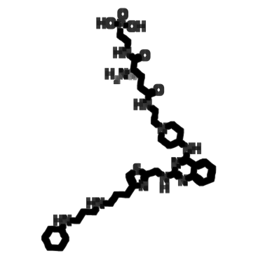 N[C@@H](CCC(=O)NCCN1CCC(Nc2nc(NCc3nc(CCCNCCCNC4CCCCC4)cs3)nc3ccccc23)CC1)C(=O)NCCP(=O)(O)O